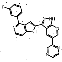 Fc1cccc(-c2nccc3[nH]c(-c4n[nH]c5ncc(-c6cnccn6)cc45)cc23)c1